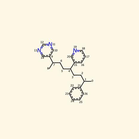 CC(CCC(CCC(C)c1cncnc1)c1cccnc1)c1ccccc1